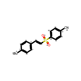 CC(C)(C)c1ccc(C=CS(=O)(=O)c2ccc(C#N)cc2)cc1